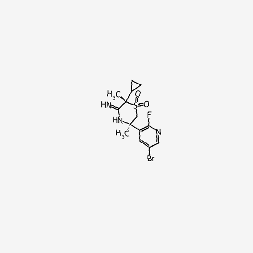 C[C@@]1(c2cc(Br)cnc2F)CS(=O)(=O)[C@@](C)(C2CC2)C(=N)N1